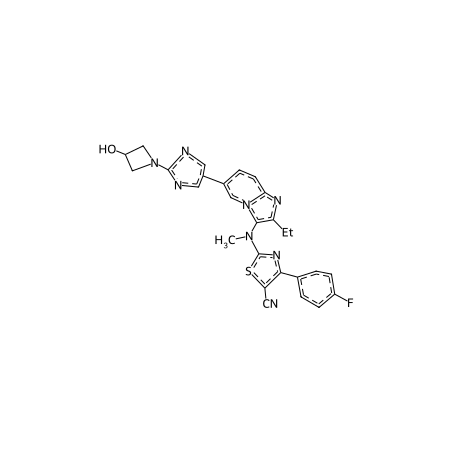 CCc1nc2ccc(-c3cnc(N4CC(O)C4)nc3)cn2c1N(C)c1nc(-c2ccc(F)cc2)c(C#N)s1